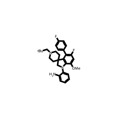 COc1cc(F)c(-c2ccc(F)cc2)c2c1N(c1ccccc1N)CC21CCN(CC(C)(C)C)CC1